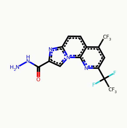 NNC(=O)c1cn2c(ccc3c(C(F)(F)F)cc(C(F)(F)C(F)(F)F)nc32)n1